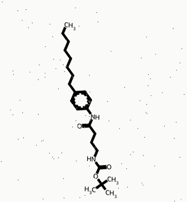 CCCCCCCCc1ccc(NC(=O)CCCNC(=O)OC(C)(C)C)cc1